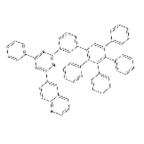 C1=CC(c2c(-c3ccccc3)c(-c3ccccc3)cc(-c3cccc(-c4nc(-c5ccccc5)nc(-c5ccc6ncccc6c5)n4)c3)c2-c2ccccc2)=CCC1